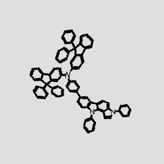 c1ccc(-n2ccc3c2ccc2c4cc(-c5ccc(N(c6ccc7c(c6)C(c6ccccc6)(c6ccccc6)c6ccccc6-7)c6ccc7c(c6)C(c6ccccc6)(c6ccccc6)c6ccccc6-7)cc5)ccc4n(-c4ccccc4)c23)cc1